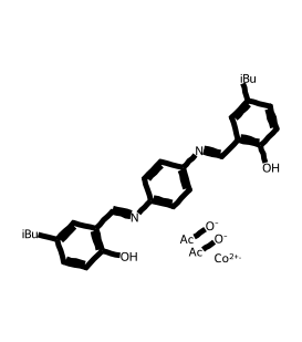 CC(=O)[O-].CC(=O)[O-].CCC(C)c1ccc(O)c(C=Nc2ccc(N=Cc3cc(C(C)CC)ccc3O)cc2)c1.[Co+2]